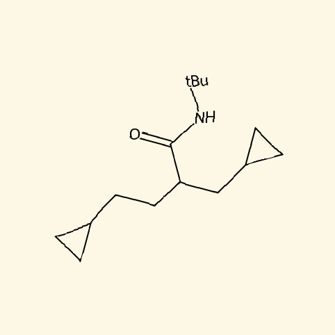 CC(C)(C)NC(=O)C(CCC1CC1)CC1CC1